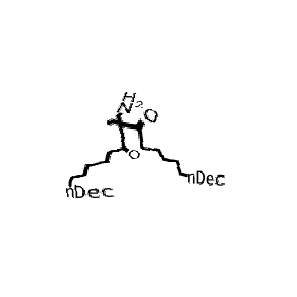 CCCCCCCCCCCCCCCC(=O)C(C)(N)C(=O)CCCCCCCCCCCCCCC